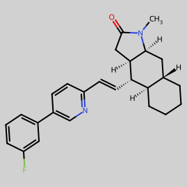 CN1C(=O)C[C@@H]2[C@@H](/C=C/c3ccc(-c4cccc(F)c4)cn3)[C@@H]3CCCC[C@H]3C[C@@H]21